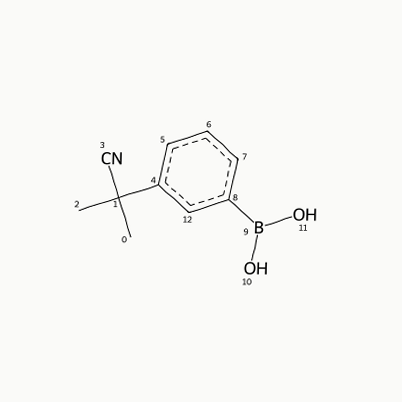 CC(C)(C#N)c1cccc(B(O)O)c1